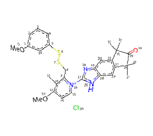 COc1cccc(SSCc2c(C)c(OC)cc[n+]2-c2nc3cc4c(cc3[nH]2)C(C)(C)C(=O)C4(C)C)c1.[Cl-]